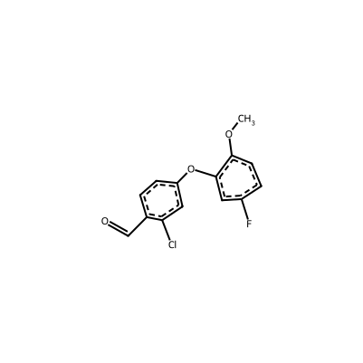 COc1ccc(F)cc1Oc1ccc(C=O)c(Cl)c1